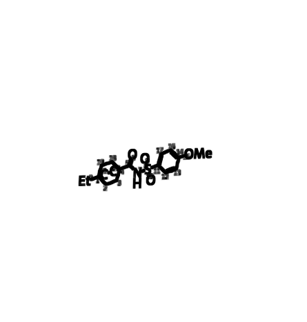 CCC12CCC(C(=O)NS(=O)(=O)c3ccc(OC)cc3)(CC1)CC2